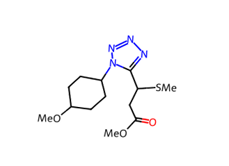 COC(=O)CC(SC)c1nnnn1C1CCC(OC)CC1